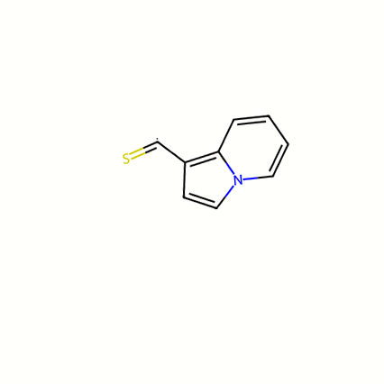 S=[C]c1ccn2ccccc12